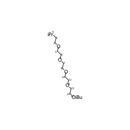 CC(C)CCOCCOCCOCCOCCOCC(C)C